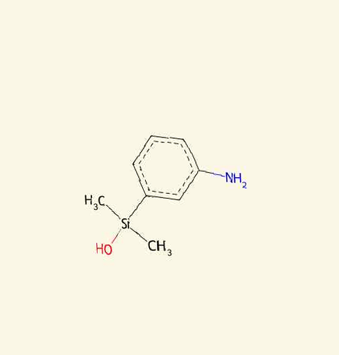 C[Si](C)(O)c1cccc(N)c1